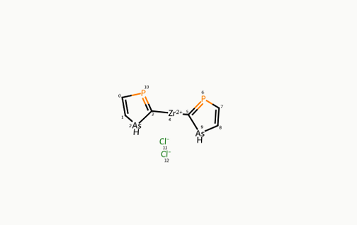 C1=C[AsH][C]([Zr+2][C]2=PC=C[AsH]2)=P1.[Cl-].[Cl-]